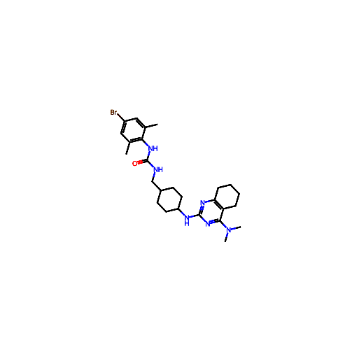 Cc1cc(Br)cc(C)c1NC(=O)NCC1CCC(Nc2nc3c(c(N(C)C)n2)CCCC3)CC1